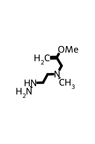 C=C(CN(C)CCNN)OC